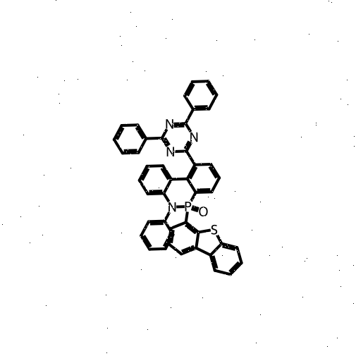 O=P1(c2cccc3c2sc2ccccc23)c2cccc(-c3nc(-c4ccccc4)nc(-c4ccccc4)n3)c2-c2ccccc2N1c1ccccc1